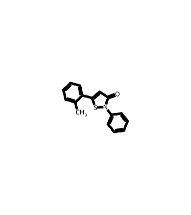 Cc1ccccc1-c1cc(=O)n(-c2ccccc2)s1